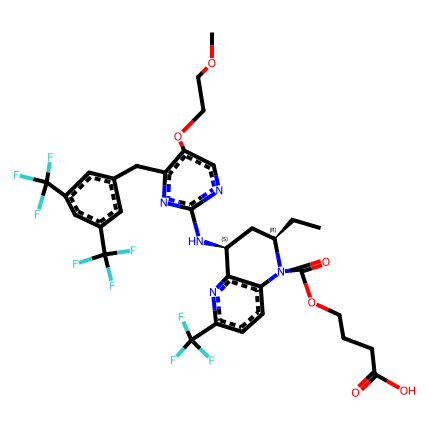 CC[C@@H]1C[C@H](Nc2ncc(OCCOC)c(Cc3cc(C(F)(F)F)cc(C(F)(F)F)c3)n2)c2nc(C(F)(F)F)ccc2N1C(=O)OCCCC(=O)O